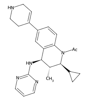 CC(=O)N1c2ccc(C3=CCNCC3)cc2[C@H](Nc2ncccn2)[C@@H](C)[C@@H]1C1CC1